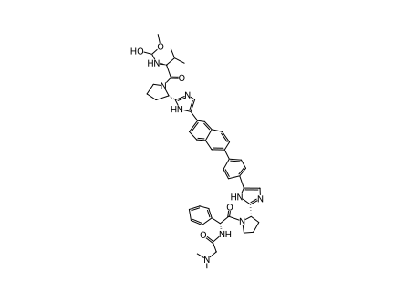 COC(O)N[C@H](C(=O)N1CCC[C@H]1c1ncc(-c2ccc3cc(-c4ccc(-c5cnc([C@@H]6CCCN6C(=O)[C@H](NC(=O)CN(C)C)c6ccccc6)[nH]5)cc4)ccc3c2)[nH]1)C(C)C